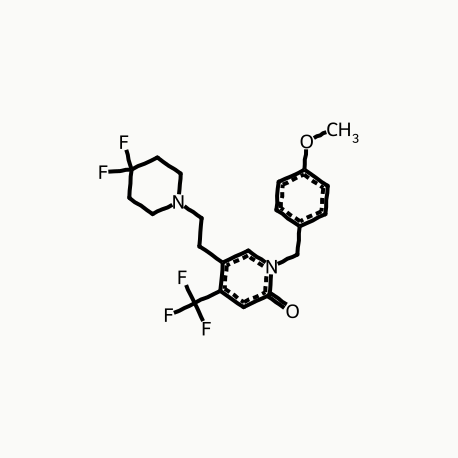 COc1ccc(Cn2cc(CCN3CCC(F)(F)CC3)c(C(F)(F)F)cc2=O)cc1